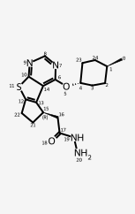 C[C@H]1CC[C@H](Oc2ncnc3sc4c(c23)[C@@H](CC(=O)NN)CC4)CC1